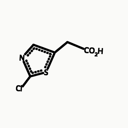 O=C(O)Cc1cnc(Cl)s1